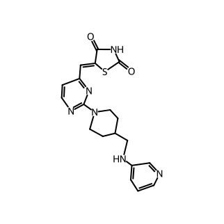 O=C1NC(=O)C(=Cc2ccnc(N3CCC(CNc4cccnc4)CC3)n2)S1